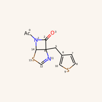 CC(=O)N1C(=O)C2(Cc3ccsc3)N=CSC12